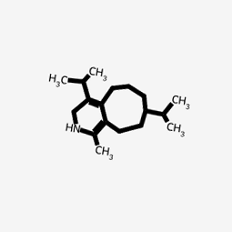 CC1=C2CCC(C(C)C)CCCC2=C(C(C)C)CN1